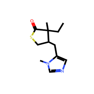 CCC1(C)C(=O)SCC1Cc1cncn1C